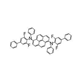 Fc1cc(-c2ccccc2)cc(F)c1N(c1ccccc1)c1ccc2ccc3c(N(c4ccccc4)c4c(F)cc(-c5ccccc5)cc4F)ccc4ccc1c2c43